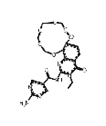 CCn1c(NC(=O)c2cnc(N)nc2)nc2c3c(ccc2c1=O)OCCCCCCCCO3